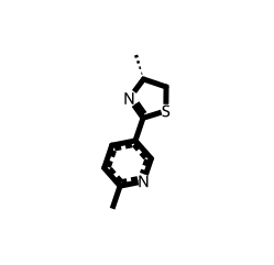 Cc1ccc(C2=N[C@H](C)CS2)cn1